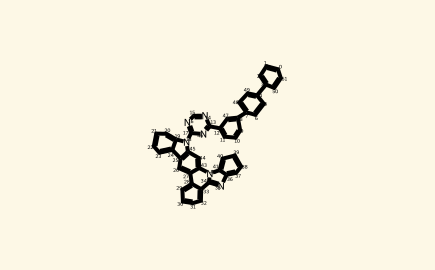 c1ccc(-c2ccc(-c3cccc(-c4ncnc(-n5c6ccccc6c6cc7c8ccccc8c8nc9ccccc9n8c7cc65)n4)c3)cc2)cc1